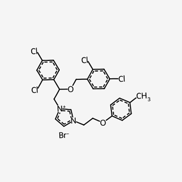 Cc1ccc(OCCn2cc[n+](CC(OCc3ccc(Cl)cc3Cl)c3ccc(Cl)cc3Cl)c2)cc1.[Br-]